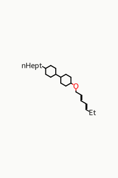 CCC=CC=CCOC1CCC(C2CCC(CCCCCCC)CC2)CC1